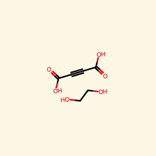 O=C(O)C#CC(=O)O.OCCO